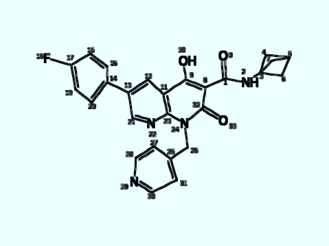 O=C(NC12CC(C1)C2)c1c(O)c2cc(-c3ccc(F)cc3)cnc2n(Cc2ccncc2)c1=O